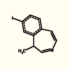 CC1C=NC=Cc2ccc(I)cc21